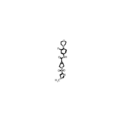 Cn1cnc(S(=O)(=O)N2CC3C(C2)C3C(=O)Nc2ccc(N3CCOCC3)c(F)c2)c1